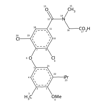 COc1c(C)cc(Oc2c(Cl)cc(C(=O)N(C)CC(=O)O)cc2Cl)cc1C(C)C